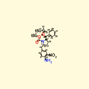 CC(C)(C)OC(=O)N1[C@H](Cc2ccc(N)c([N+](=O)[O-])c2)CC[C@@H]1[C@H](O[Si](C)(C)C(C)(C)C)c1ccccc1